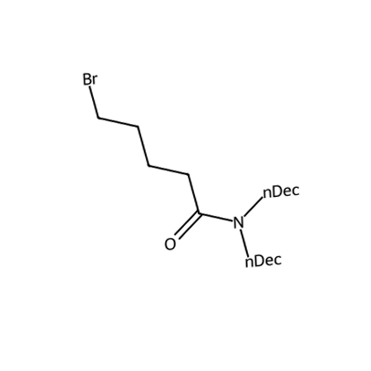 CCCCCCCCCCN(CCCCCCCCCC)C(=O)CCCCBr